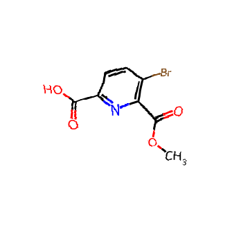 COC(=O)c1nc(C(=O)O)ccc1Br